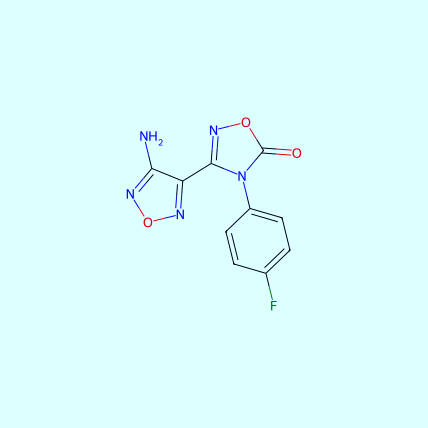 Nc1nonc1-c1noc(=O)n1-c1ccc(F)cc1